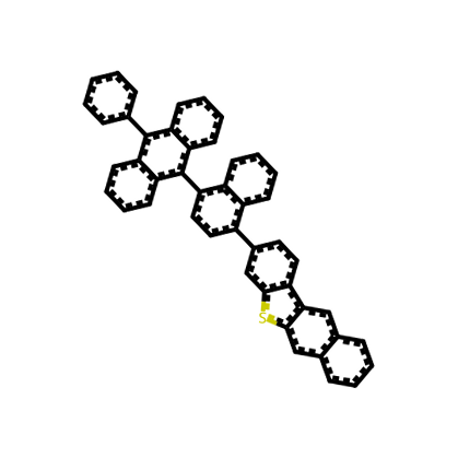 c1ccc(-c2c3ccccc3c(-c3ccc(-c4ccc5c(c4)sc4cc6ccccc6cc45)c4ccccc34)c3ccccc23)cc1